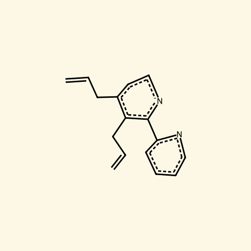 C=CCc1ccnc(-c2ccccn2)c1CC=C